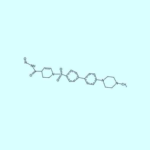 CN1CCN(c2ccc(-c3ccc(S(=O)(=O)N4C=CC(C(=O)NN=O)CC4)cc3)cc2)CC1